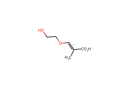 C/C(=C\OCCO)C(=O)O